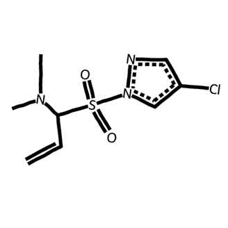 C=CC(N(C)C)S(=O)(=O)n1cc(Cl)cn1